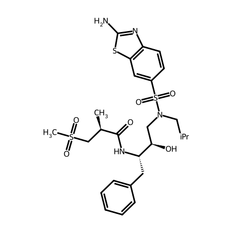 CC(C)CN(C[C@@H](O)[C@H](Cc1ccccc1)NC(=O)[C@H](C)CS(C)(=O)=O)S(=O)(=O)c1ccc2nc(N)sc2c1